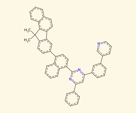 CC1(C)c2ccc(-c3ccc(-c4nc(-c5ccccc5)cc(-c5cccc(-c6cccnc6)c5)n4)c4ccccc34)cc2-c2ccc3ccccc3c21